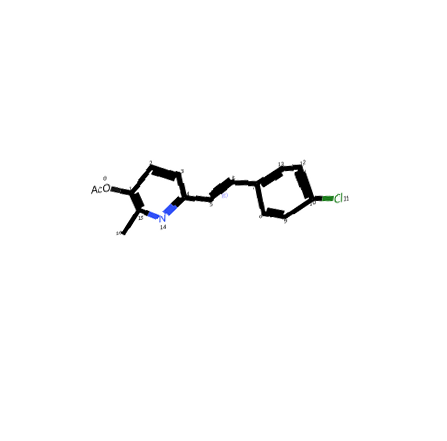 CC(=O)Oc1ccc(/C=C/c2ccc(Cl)cc2)nc1C